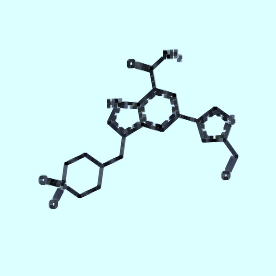 NC(=O)c1cc(-c2csc(C=O)c2)cc2c(CC3CCS(=O)(=O)CC3)c[nH]c12